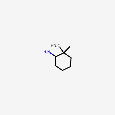 CC1(C(=O)O)CCCCC1N